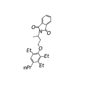 CC[C]c1cc(CC)c(OCCC(C)N2C(=O)c3ccccc3C2=O)c(CC)c1CC